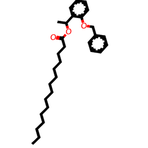 CCCCCCCCCCCCCCC(=O)OC(C)c1ccccc1OCc1ccccc1